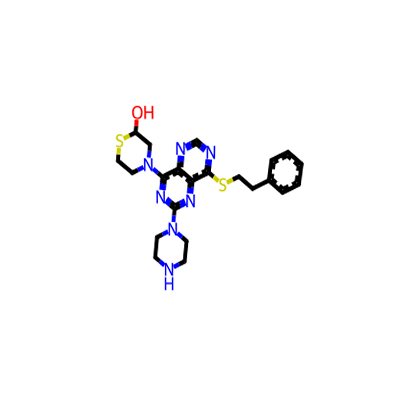 OC1CN(c2nc(N3CCNCC3)nc3c(SCCc4ccccc4)ncnc23)CCS1